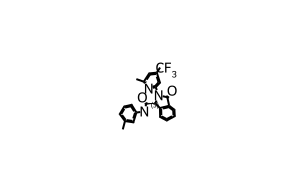 Cc1cccc(N(C)C(=O)[C@@H]2c3ccccc3C(=O)N2c2cc(C(F)(F)F)cc(C)n2)c1